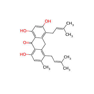 CC(C)=CCc1c(C)cc(O)c2c1Cc1c(CC=C(C)C)c(O)cc(O)c1C2=O